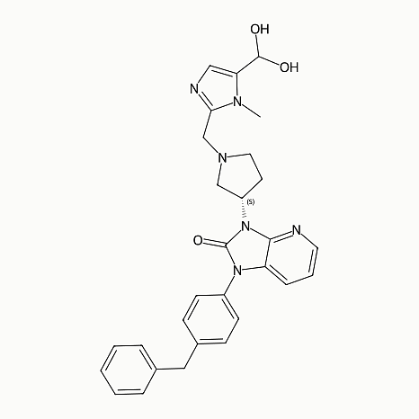 Cn1c(C(O)O)cnc1CN1CC[C@H](n2c(=O)n(-c3ccc(Cc4ccccc4)cc3)c3cccnc32)C1